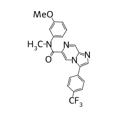 COc1cccc(N(C)C(=O)c2cn3c(-c4ccc(C(F)(F)F)cc4)cnc3cn2)c1